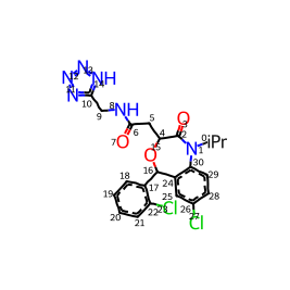 CC(C)N1C(=O)C(CC(=O)NCc2nnn[nH]2)OC(c2ccccc2Cl)c2cc(Cl)ccc21